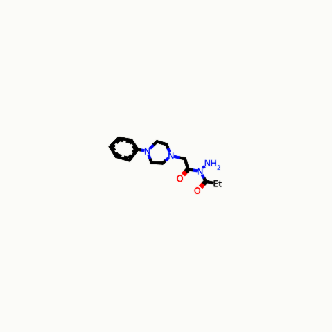 CCC(=O)N(N)C(=O)CN1CCN(c2ccccc2)CC1